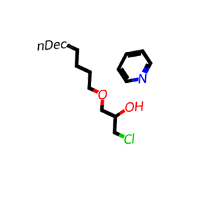 CCCCCCCCCCCCCCOCC(O)CCl.c1ccncc1